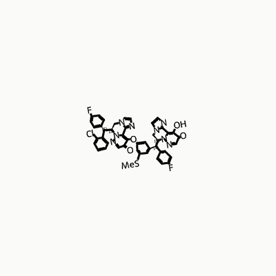 CSc1cc(Oc2c3n(ncc2=O)[C@@H]([C@@H](c2ccc(F)cc2)c2ccccc2Cl)Cn2ccnc2-3)cc([C@H](c2ccc(F)cc2)[C@H]2Cn3ccnc3-c3c(O)c(=O)cnn32)c1